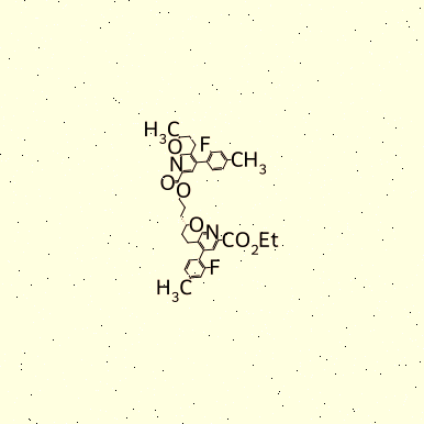 CCOC(=O)c1cc(-c2ccc(C)cc2F)c2c(n1)O[C@@H](CCCOC(=O)c1cc(-c3ccc(C)cc3F)c3c(n1)O[C@H](C)CC3)CC2